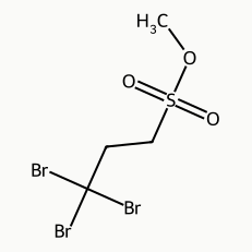 COS(=O)(=O)CCC(Br)(Br)Br